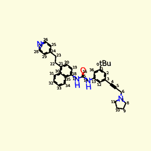 CC(C)(C)c1cc(C#CCN2CCCC2)cc(NC(=O)Nc2ccc(CCc3ccncc3)c3ccccc23)c1